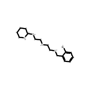 Brc1ccccc1COCCOCCOC1CCCCO1